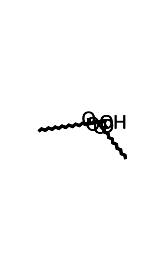 CCCCCCCCCCCCCCCC(=O)OCC(CO)OC(=O)CCCCCCCCCCC